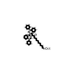 CCCCCCCCC=CCCCCCCCC(=O)C1C(=O)N(CN(C2CCCCC2)C2CCCCC2)C(=O)N1CN(C1CCCCC1)C1CCCCC1